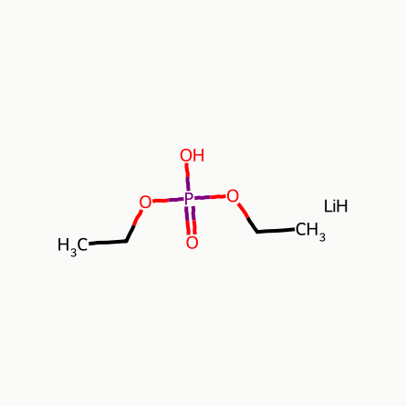 CCOP(=O)(O)OCC.[LiH]